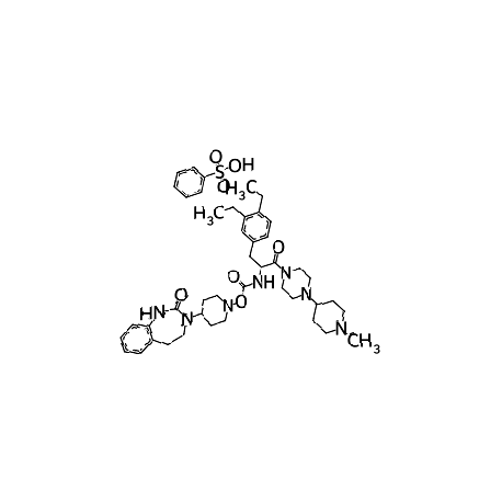 CCc1ccc(CC(NC(=O)ON2CCC(N3CCc4ccccc4NC3=O)CC2)C(=O)N2CCN(C3CCN(C)CC3)CC2)cc1CC.O=S(=O)(O)c1ccccc1